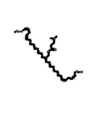 CCCCC/C=C\C/C=C\CCCCCCCCC(CCCCCCCC/C=C\C/C=C\CCCCC)COC(=O)CCN(C)C